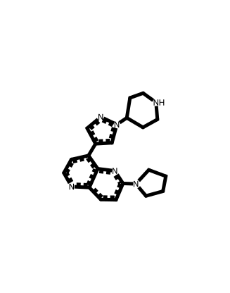 c1cc(-c2cnn(C3CCNCC3)c2)c2nc(N3CCCC3)ccc2n1